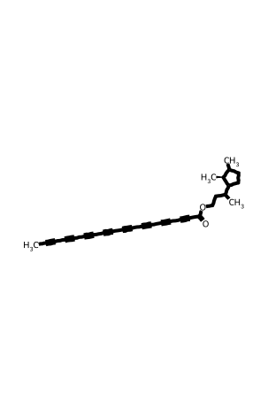 CC#CC#CC#CC#CC#CC#CC#CC#CC(=O)OCCC(C)C1CCC(C)[C@@H]1C